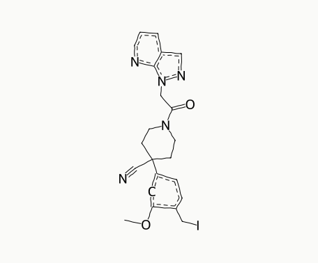 COc1cc(C2(C#N)CCN(C(=O)Cn3ncc4cccnc43)CC2)ccc1CI